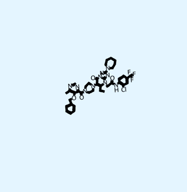 CCc1c(N2CCN(C(=O)c3ncnc(C)c3OCc3ccccc3)CC2)c(=O)n2nc(N3CCCCCC3)nc2n1CC(=O)Nc1ccc(C(F)(F)F)cc1Cl